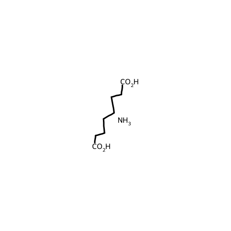 N.O=C(O)CCCCCCC(=O)O